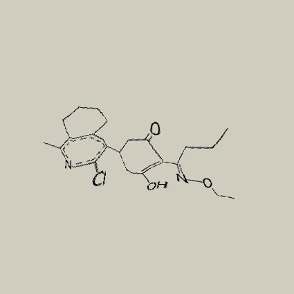 CCC/C(=N\OCC)C1=C(O)CC(c2c(Cl)nc(C)c3c2CCCC3)CC1=O